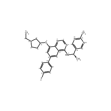 C[C@@H](Nc1ncnc2c(OC3CCN(CC(F)(F)F)C3)cc(-c3ccc(F)cc3)cc12)c1cnc(C(F)(F)F)nc1